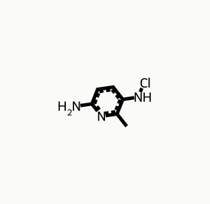 Cc1nc(N)ccc1NCl